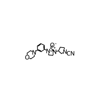 N#CN1CCC(N2CCN(c3cccc(N4CCOCC4)c3)[S+]2[O-])C1